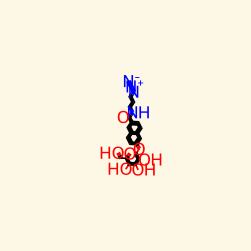 [N-]=[N+]=NCCCNC(=O)c1ccc2cc(O[C@@H]3O[C@H](CO)[C@H](O)[C@H](O)[C@H]3O)ccc2c1